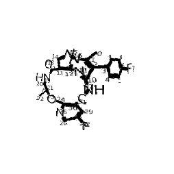 Cc1c(-c2ccc(F)cc2)c2nc3c(cnn13)C(=O)NC[C@H](C)Oc1ncc(F)cc1CN2